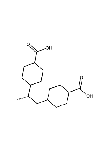 C[C@@H](CC1CCC(C(=O)O)CC1)C1CCC(C(=O)O)CC1